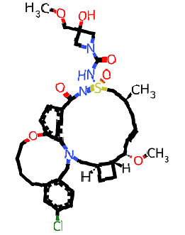 COCC1(O)CN(C(=O)N[S@@]2(=O)=NC(=O)c3ccc4c(c3)N(Cc3ccc(Cl)cc3CCCCO4)C[C@@H]3CC[C@H]3[C@@H](OC)/C=C/C[C@H](C)C2)C1